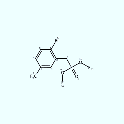 O=P(Cc1cc(C(F)(F)F)ccc1Br)(OF)OF